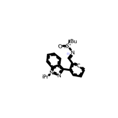 CC(C)n1nc(-c2ccccc2/C=N/[S@@+]([O-])C(C)(C)C)c2ccccc21